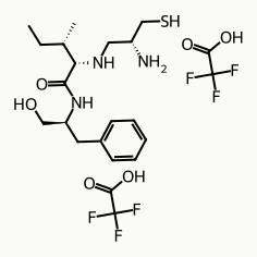 CC[C@H](C)[C@H](NC[C@@H](N)CS)C(=O)N[C@H](CO)Cc1ccccc1.O=C(O)C(F)(F)F.O=C(O)C(F)(F)F